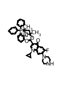 CC(C)(CC(C)(C)[PH](c1ccccc1)(c1ccccc1)c1ccccc1)OC(=O)c1cn(C2CC2)c2cc(N3CCNCC3)c(F)cc2c1=O